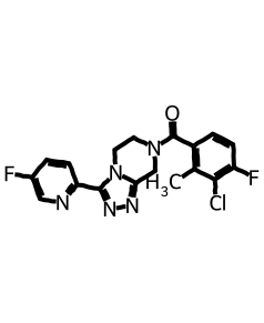 Cc1c(C(=O)N2CCn3c(nnc3-c3ccc(F)cn3)C2)ccc(F)c1Cl